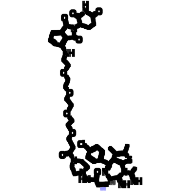 CC(=N)N1C(=N)[C@H](/C=C\C(=O)NN2CCN(C(=O)CCOCCOCCOCCOCCNc3cccc4c3C(=O)N(C3CCC(=O)NC3=O)C4=O)CC2)N=C(c2ccc(Cl)cc2)c2c1sc(C)c2C